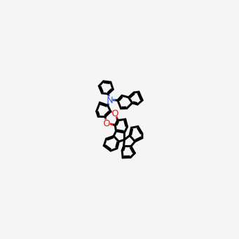 c1ccc(N(c2ccc3ccccc3c2)c2cccc3c2Oc2ccc4c(c2O3)-c2ccccc2C42c3ccccc3-c3ccccc32)cc1